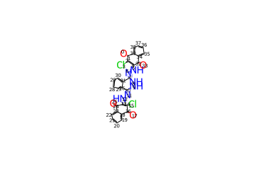 O=C1C(Cl)=C(N/N=c2\[nH][nH]/c(=N/NC3=C(Cl)C(=O)c4ccccc4C3=O)c3ccccc23)C(=O)c2ccccc21